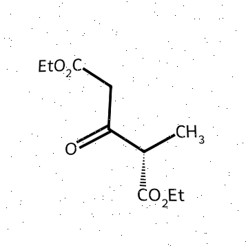 CCOC(=O)CC(=O)[C@H](C)C(=O)OCC